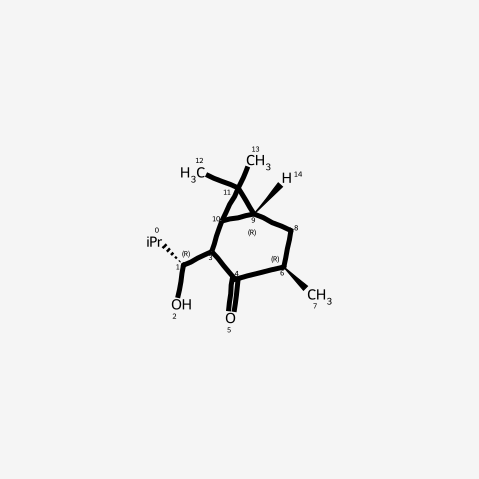 CC(C)[C@@H](O)C1C(=O)[C@H](C)C[C@@H]2C1C2(C)C